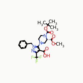 COC(=O)[C@@H]1CN(c2c(C(=O)O)c(C(F)(F)F)nn2Cc2ccccc2)CCN1C(=O)OC(C)(C)C